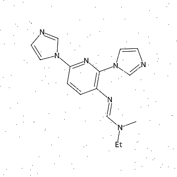 CCN(C)/C=N/c1ccc(-n2ccnc2)nc1-n1ccnc1